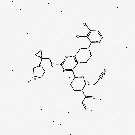 C=CC(=O)N1CCN(c2nc(OCC3(N4CC[C@H](F)C4)CC3)nc3c2CCN(c2cccc(Cl)c2Cl)C3)C[C@@H]1CC#N